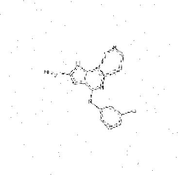 O=C(O)c1cc2c(Nc3cccc(Cl)c3)nc3ccncc3c2[nH]1